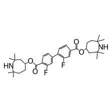 CC1(C)CCC(OC(=O)c2ccc(-c3ccc(C(=O)OC4CCC(C)(C)NC(C)(C)C4)c(F)c3)c(F)c2)CC(C)(C)N1